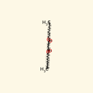 CCCCCCCCCCCCCCOC(=O)CCCCCCCC(=O)OCCCCCCCCCCCCCC